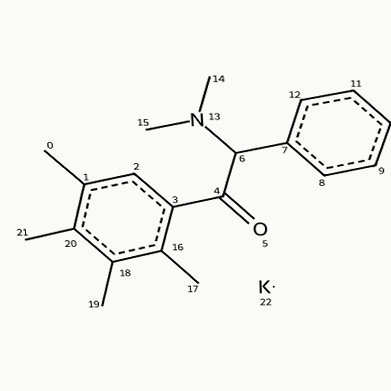 Cc1cc(C(=O)C(c2ccccc2)N(C)C)c(C)c(C)c1C.[K]